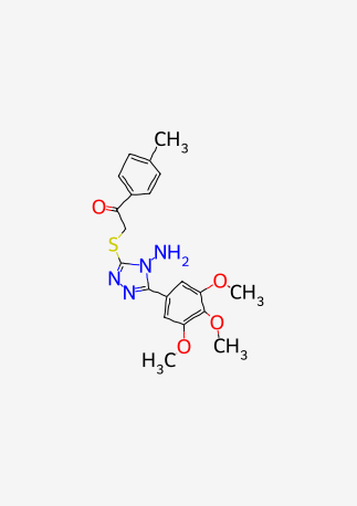 COc1cc(-c2nnc(SCC(=O)c3ccc(C)cc3)n2N)cc(OC)c1OC